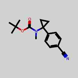 CN(C(=O)OC(C)(C)C)C1(c2ccc(C#N)cc2)CC1